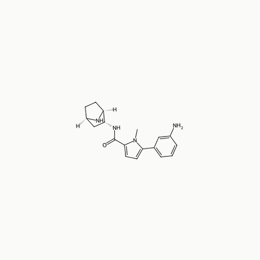 Cn1c(C(=O)N[C@@H]2C[C@H]3CC[C@@H]2N3)ccc1-c1cccc(N)c1